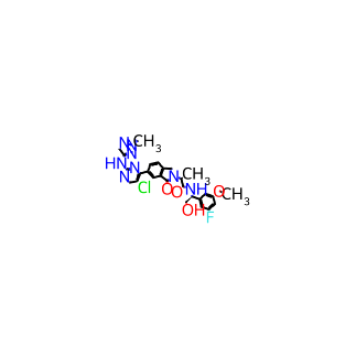 COc1cc(F)cc([C@@H](CO)NC(=O)[C@@H](C)N2Cc3ccc(-c4nc(Nc5cnn(C)n5)ncc4Cl)cc3C2=O)c1